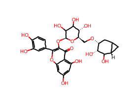 O=c1c(O[C@@H]2O[C@H](CO[C@@H]3CC4C[C@@H]4C(O)[C@@H]3O)[C@@H](O)C(O)C2O)c(-c2ccc(O)c(O)c2)oc2cc(O)cc(O)c12